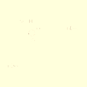 CCCCCCCCCCCCCCCCCCOc1cc(CCCS(=O)(=O)O)cc(OCCCCCCCCCCCCCCCCCC)c1